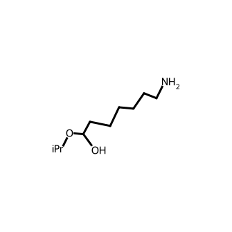 CC(C)OC(O)CCCCCCN